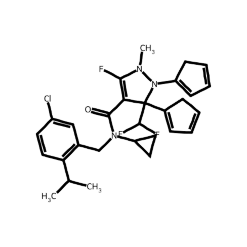 CC(C)c1ccc(Cl)cc1CN(C(=O)C1=C(F)N(C)N(C2=CC=CC2)C1(C1=CC=CC1)C(F)F)C1CC1